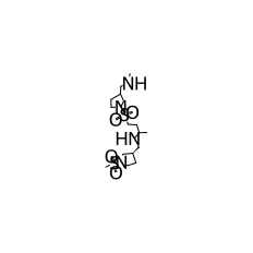 CNCC1CCN(S(=O)(=O)CCC(C)NC[C@H]2CCN(S(C)(=O)=O)C2)C1